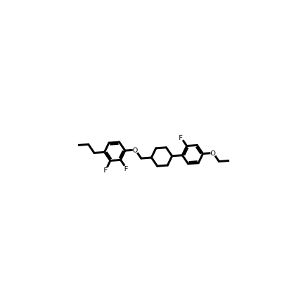 CCCc1ccc(OCC2CCC(c3ccc(OCC)cc3F)CC2)c(F)c1F